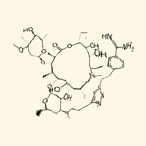 CC[C@H]1OC(=O)[C@H](C)[C@@H](O[C@H]2C[C@@](C)(OC)[C@@H](O)[C@H](C)O2)[C@H](C)[C@@H](O[C@@H]2O[C@H](C)C[C@H](N(C)CCc3cn(CCc4ccc(C(=N)N)cc4)nn3)[C@H]2O)[C@](C)(O)C[C@@H](C)CN(C)[C@H](C)[C@@H](O)[C@]1(C)O